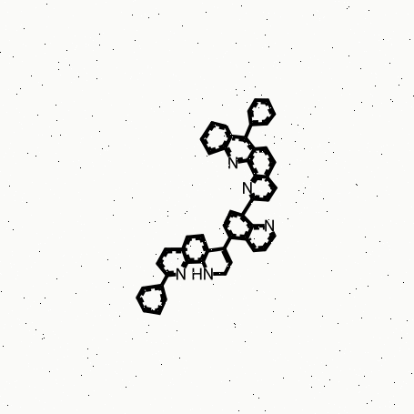 C1=C(c2ccc(-c3ccc4ccc5c(-c6ccccc6)c6ccccc6nc5c4n3)c3ncccc23)c2ccc3ccc(-c4ccccc4)nc3c2NC1